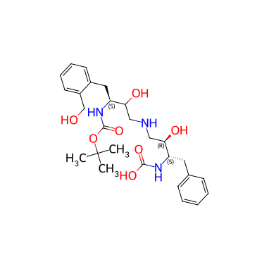 CC(C)(C)OC(=O)N[C@@H](Cc1ccccc1CO)C(O)CNC[C@@H](O)[C@H](Cc1ccccc1)NC(=O)O